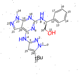 Cn1nc(Nc2nc(N[C@H](CO)c3ccccc3)nc3c2cnn3C)cc1C(C)(C)C